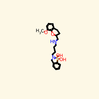 COc1cccc2c1OC(CNCCCCN1Cc3ccccc3S1(O)O)CC2